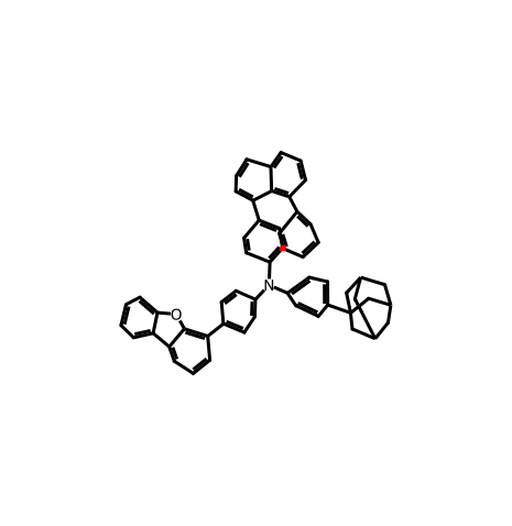 c1ccc(-c2cccc3cccc(-c4ccc(N(c5ccc(-c6cccc7c6oc6ccccc67)cc5)c5ccc(C67CC8CC(CC(C8)C6)C7)cc5)cc4)c23)cc1